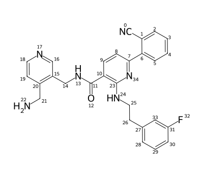 N#Cc1ccccc1-c1ccc(C(=O)NCc2cnccc2CN)c(NCCc2cccc(F)c2)n1